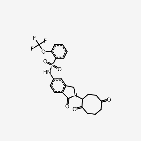 O=C1CCCC(=O)C(N2Cc3cc(NS(=O)(=O)c4ccccc4OC(F)(F)F)ccc3C2=O)CC1